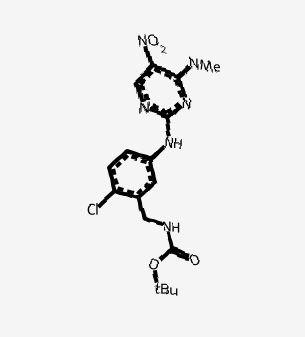 CNc1nc(Nc2ccc(Cl)c(CNC(=O)OC(C)(C)C)c2)ncc1[N+](=O)[O-]